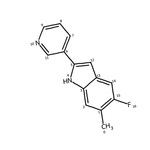 Cc1cc2[nH]c(-c3cccnc3)cc2cc1F